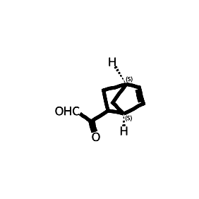 O=CC(=O)C1C[C@H]2C=C[C@@H]1C2